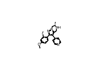 COc1ccc(-c2nn3c(c2-c2ccncc2)CN[C@H](C)C3)c(F)c1